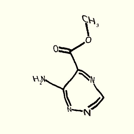 COC(=O)c1ncnnc1N